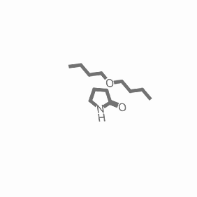 CCCCOCCCC.O=C1CCCN1